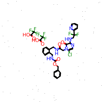 O=C(Cn1c(Cl)cnc(NCC(F)(F)c2ccccn2)c1=O)NCc1ccccc1CNC(=O)OCc1ccccc1.O=C(O)C(F)(F)F.O=C(O)C(F)(F)F